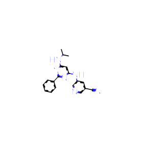 CC(C)Nc1cc(Nc2cncc(C#N)c2)nc(-c2ccccc2)n1